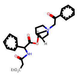 CCOC(=O)CC(=O)NC(C(=O)O[C@H]1C[N+]2(CC(=O)c3ccccc3)CCC1CC2)c1ccccc1